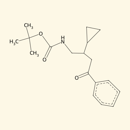 CC(C)(C)OC(=O)NCC(CC(=O)c1ccccc1)C1CC1